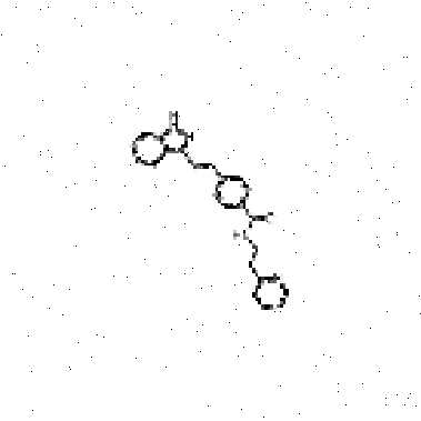 O=C(NCCc1ccccn1)c1ccc(C=Cc2n[nH]c3ccccc23)cc1